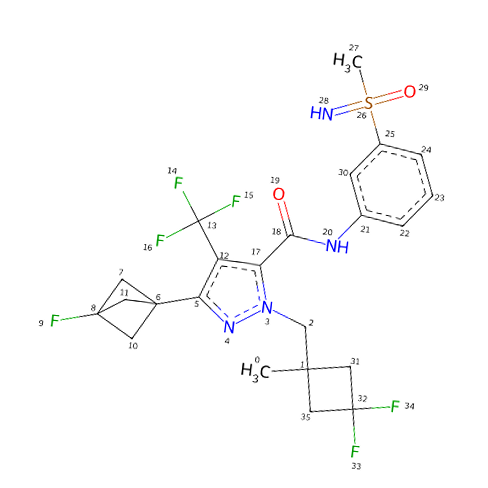 CC1(Cn2nc(C34CC(F)(C3)C4)c(C(F)(F)F)c2C(=O)Nc2cccc(S(C)(=N)=O)c2)CC(F)(F)C1